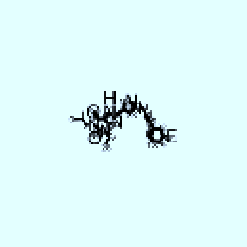 CCCn1c(=O)c2[nH]c(-c3cnn(CC#Cc4cccc(F)c4)c3)nc2n(CC)c1=O